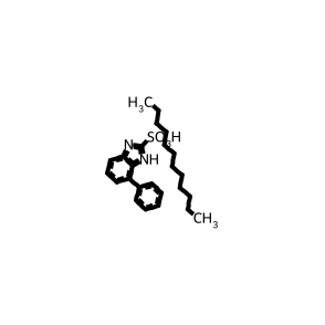 CCCCCCCCCCCC.O=S(=O)(O)c1nc2cccc(-c3ccccc3)c2[nH]1